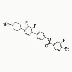 CCCC1CCC(c2ccc(-c3ccc(OC(=O)c4ccc(CC)c(F)c4)cc3)c(F)c2F)CC1